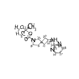 CC(C)(C)OC(=O)N1CCC2(CC(Nc3ncccn3)C2)C1